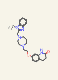 Cn1c(CN2CCCN(CCOc3ccc4c(c3)NC(=O)CC4)CC2)nc2ccccc21